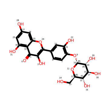 O=c1c(O)c(-c2ccc(O[C@H]3O[C@H](CO)[C@@H](O)[C@H](O)[C@H]3O)c(O)c2)oc2cc(O)cc(O)c12